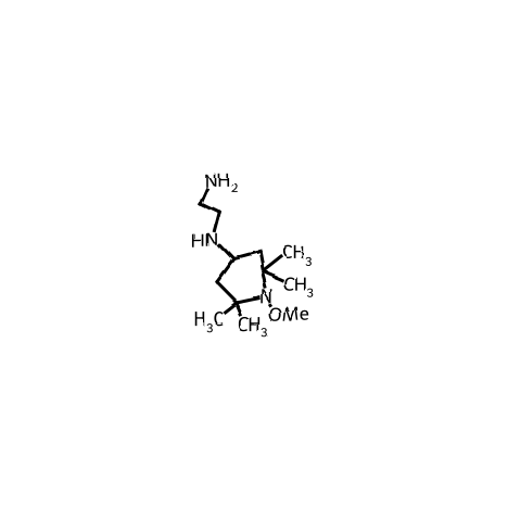 CON1C(C)(C)CC(NCCN)CC1(C)C